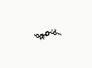 CCCCC1CC=C(CCc2ccc(-c3ccc(C4CCC(CC)CC4)c(F)c3F)cc2)C(F)=C1F